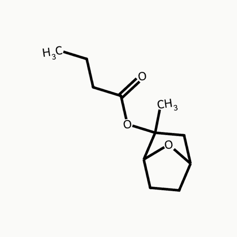 CCCC(=O)OC1(C)CC2CCC1O2